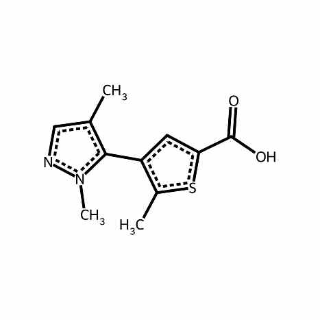 Cc1cnn(C)c1-c1cc(C(=O)O)sc1C